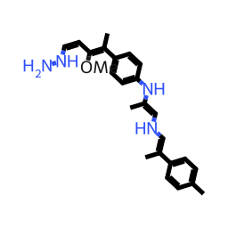 COC(/C=C\NN)=C(/C)c1ccc(N/C(C)=C/N/C=C(\C)c2ccc(C)cc2)cc1